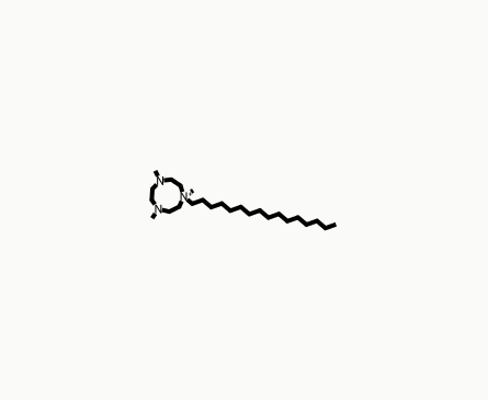 CCCCCCCCCCCCCCCC[N+]1(C)CCN(C)CCN(C)CC1